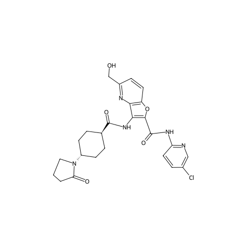 O=C(Nc1ccc(Cl)cn1)c1oc2ccc(CO)nc2c1NC(=O)[C@H]1CC[C@H](N2CCCC2=O)CC1